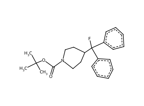 CC(C)(C)OC(=O)N1CCC(C(F)(c2ccccc2)c2ccccc2)CC1